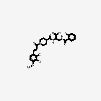 CSc1ccc(C=CC(=O)N2CCC(C(=O)NC(CNC(=O)c3ccccc3F)C(=O)O)CC2)c(Cl)c1Cl